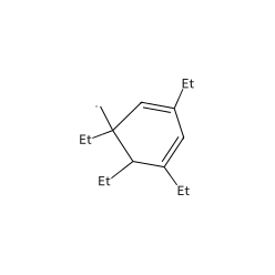 [CH2]C1(CC)C=C(CC)C=C(CC)C1CC